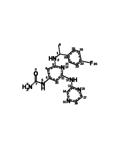 CC(Nc1cc(NC(N)=O)cc(Nc2cnccn2)n1)c1ccc(F)cc1